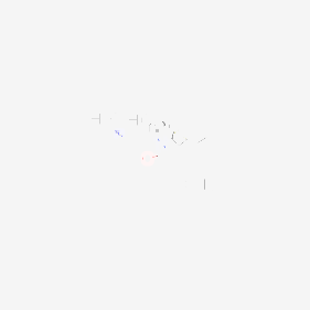 C/C=C\CCC(CCC)N(C(=O)C1CCC(C)CC1)c1cc(C2=CCCCC2)sc1C(=O)O